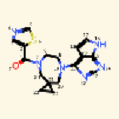 O=C(c1cncs1)N1CCN(c2ncnc3[nH]ccc23)CC2(CC2)C1